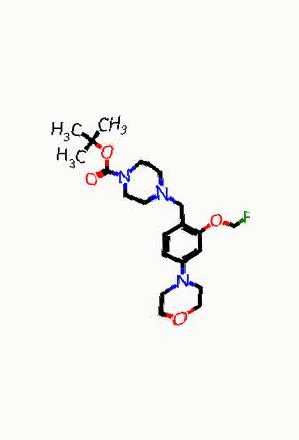 CC(C)(C)OC(=O)N1CCN(Cc2ccc(N3CCOCC3)cc2OCF)CC1